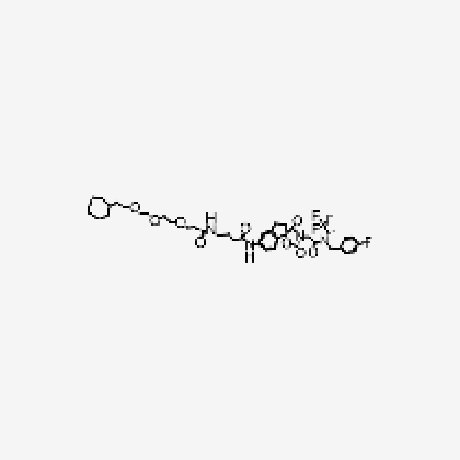 C[C@H](N(Cc1ccc(F)cc1)C(=O)CN1C(=O)O[C@@]2(CCc3cc(NC(=O)CCCNC(=O)CCOCCOCCOCCC4CCCCCC4)ccc32)C1=O)C(F)(F)F